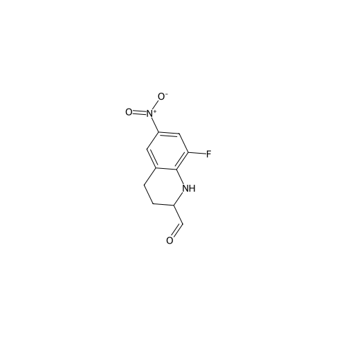 O=CC1CCc2cc([N+](=O)[O-])cc(F)c2N1